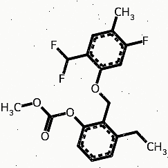 CCc1cccc(OC(=O)OC)c1COc1cc(F)c(C)cc1C(F)F